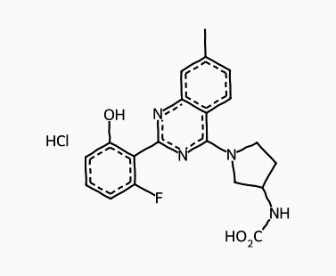 Cc1ccc2c(N3CCC(NC(=O)O)C3)nc(-c3c(O)cccc3F)nc2c1.Cl